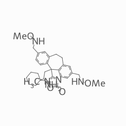 CONCc1ccc2c(c1)CCc1cc(CNOC)ccc1C2(C[C@H](C)N)c1nc(=O)on1C1CCCCC1